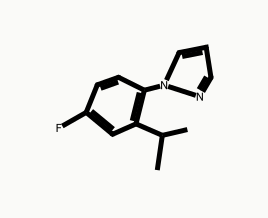 CC(C)c1cc(F)ccc1-n1cccn1